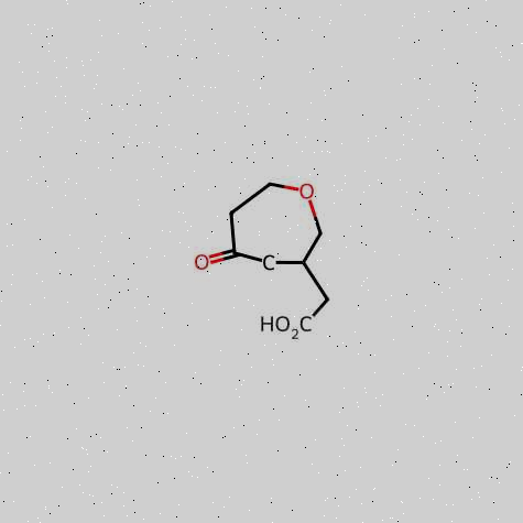 O=C(O)CC1COCCC(=O)C1